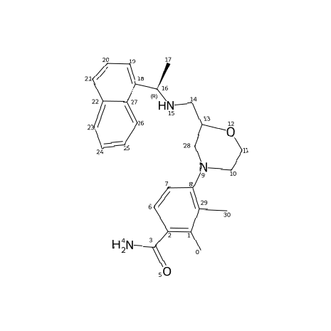 Cc1c(C(N)=O)ccc(N2CCOC(CN[C@H](C)c3cccc4ccccc34)C2)c1C